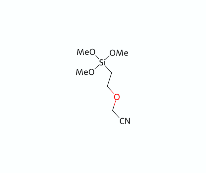 CO[Si](CCOCC#N)(OC)OC